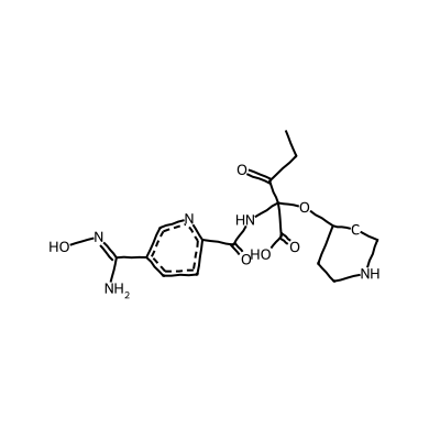 CCC(=O)C(NC(=O)c1ccc(C(N)=NO)cn1)(OC1CCNCC1)C(=O)O